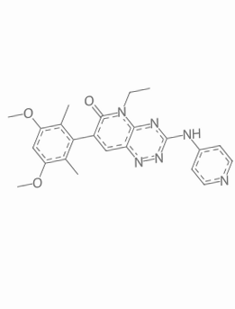 CCn1c(=O)c(-c2c(C)c(OC)cc(OC)c2C)cc2nnc(Nc3ccncc3)nc21